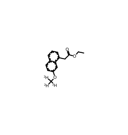 [2H]C([2H])([2H])Oc1ccc2cccc(CC(=O)OCC)c2c1